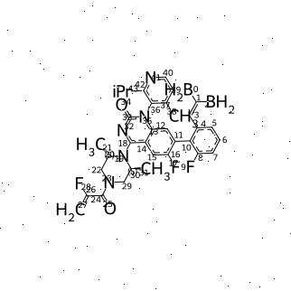 BC(B)=Cc1cccc(F)c1-c1cc2c(cc1F)c(N1[C@@H](C)CN(C(=O)C(=C)F)C[C@@H]1C)nc(=O)n2-c1c(C)ccnc1C(C)C